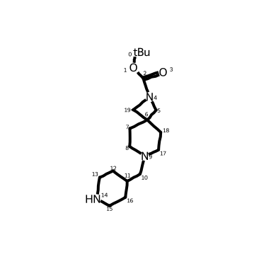 CC(C)(C)OC(=O)N1CC2(CCN(CC3CCNCC3)CC2)C1